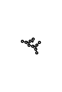 CC1(C)c2ccccc2-c2ccc(N(c3ccc(-c4ccccc4)cc3)c3cccc(-c4ccc(N(c5ccc(-c6ccccc6)cc5)c5ccc(-c6ccccc6)cc5)cc4)c3)cc21